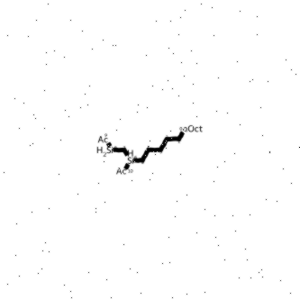 CCCCCCCCCCCCC[SiH](C[SiH2]C(C)=O)C(C)=O